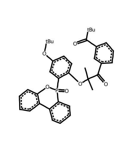 CC(C)(C)Oc1ccc(OC(C)(C)C(=O)c2cccc(C(=O)C(C)(C)C)c2)c(P2(=O)Oc3ccccc3-c3ccccc32)c1